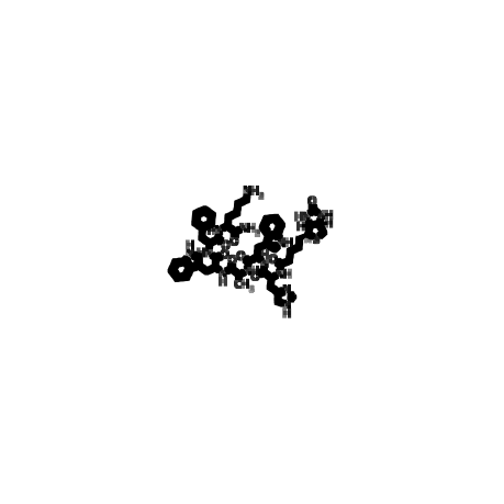 CC(NC(=O)C(Cc1c[nH]c2ccccc12)NC(=O)C(CC1=NCNC1)NC(=O)CCCC[C@@H]1SC[C@@H]2NC(=O)N[C@@H]21)C(=O)NC(Cc1c[nH]c2ccccc12)C(=O)NC(Cc1ccccc1)C(=O)NC(CCCCN)C(N)=O